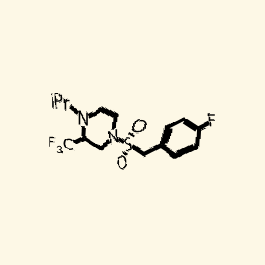 CC(C)N1CCN(S(=O)(=O)Cc2ccc(F)cc2)CC1C(F)(F)F